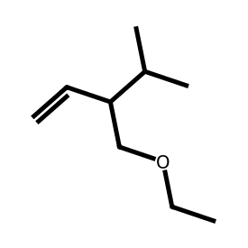 C=CC(COCC)C(C)C